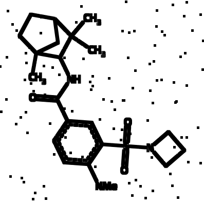 CNc1ccc(C(=O)NC2C3(C)CCC(C3)C2(C)C)cc1S(=O)(=O)N1CCC1